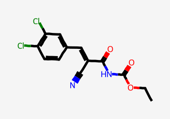 CCOC(=O)NC(=O)/C(C#N)=C/c1ccc(Cl)c(Cl)c1